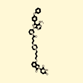 Nc1ncnc2c1c(-c1ccc(Oc3ccccc3)cc1)nn2[C@@H]1CCCN(C(=O)CCCN2CCN(CCCCSc3cccc4c3CN(C3CCC(=O)NC3=O)C4=O)CC2)C1